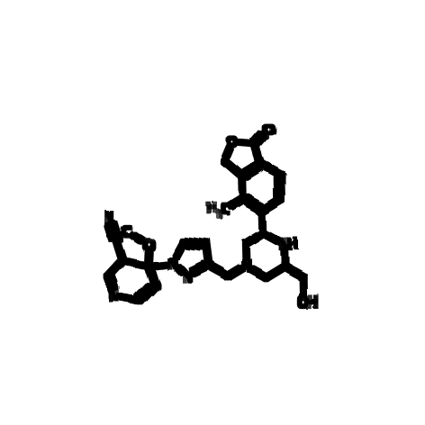 COC1(n2ccc(CN3CC(CO)NC(c4ccc5c(c4C)COC5=O)C3)n2)C=CN=CC1C#N